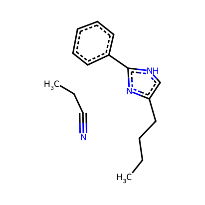 CCC#N.CCCCc1c[nH]c(-c2ccccc2)n1